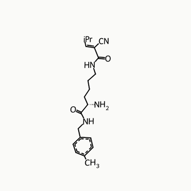 Cc1ccc(CNC(=O)[C@@H](N)CCCCNC(=O)C(C#N)=CC(C)C)cc1